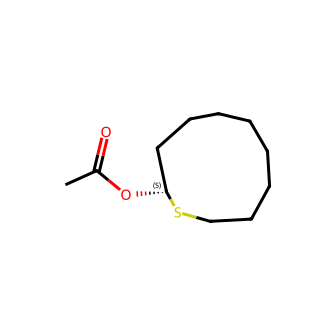 CC(=O)O[C@@H]1CCCCCCCCS1